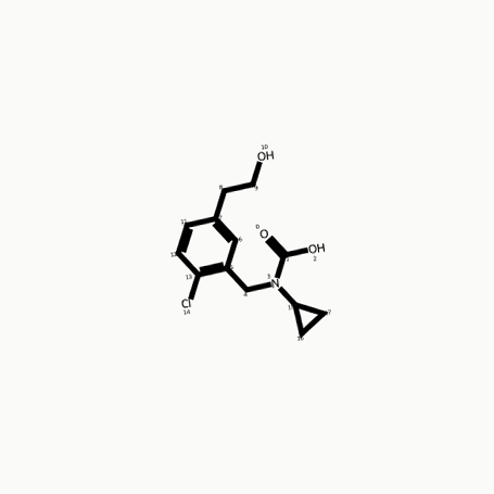 O=C(O)N(Cc1cc(CCO)ccc1Cl)C1CC1